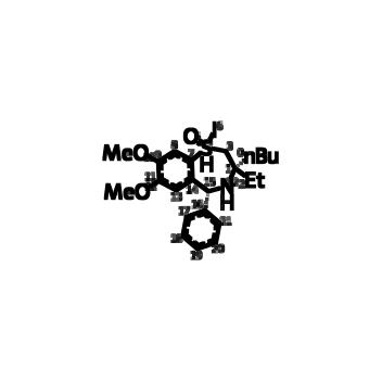 CCCC[C@@]1(CC)C[SH](=O)(I)c2cc(OC)c(OC)cc2[C@@H](c2ccccc2)N1